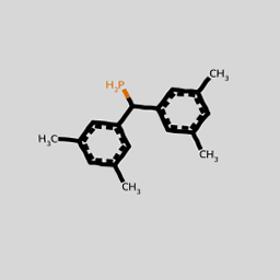 Cc1cc(C)cc(C(P)c2cc(C)cc(C)c2)c1